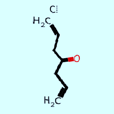 C=CCC(=O)CC=C.[C]